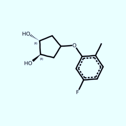 Cc1ccc(F)cc1OC1C[C@@H](O)[C@H](O)C1